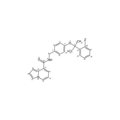 CC(C)(Oc1ccc(CNC(=O)c2cccn3cccc23)cc1)c1ccccc1F